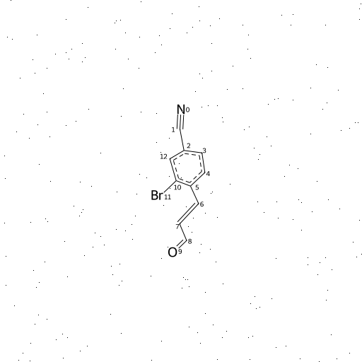 N#Cc1ccc(C=CC=O)c(Br)c1